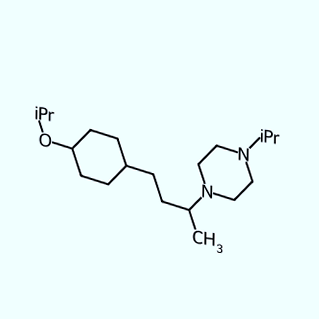 CC(C)OC1CCC(CCC(C)N2CCN(C(C)C)CC2)CC1